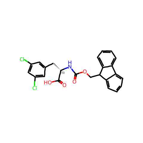 O=C(N[C@@H](Cc1cc(Cl)cc(Cl)c1)C(=O)O)OCC1c2ccccc2-c2ccccc21